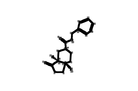 O=C1CC[C@H]2CCN(C(=O)OCc3ccccc3)C[C@H]12